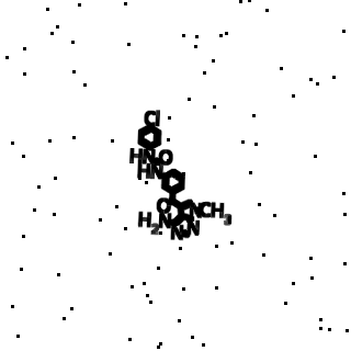 Cn1cc(C(=O)c2cccc(NC(=O)Nc3ccc(Cl)cc3)c2)c2c(N)ncnc21